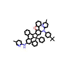 Cc1ccc(Nc2ccc3c4c(c5ccccc5c3c2)-c2c(cc(N(c3ccc(C(C)(C)C)cc3)c3ccc(C)cn3)c3c2oc2ccccc23)C4(c2ccccc2)c2ccccc2)nc1